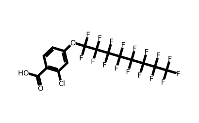 O=C(O)c1ccc(OC(F)(F)C(F)(F)C(F)(F)C(F)(F)C(F)(F)C(F)(F)C(F)(F)C(F)(F)F)cc1Cl